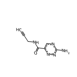 C#CCNC(=O)c1cnc(N)nn1